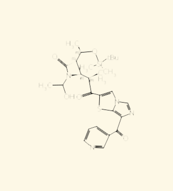 CC(O)N1C(=O)[C@H]([C@@H](C)O[Si](C)(C)C(C)(C)C)[C@H]1[C@@H](C)C(=O)c1cn2cnc(C(=O)c3cccnc3)c2s1